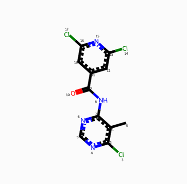 Cc1c(Cl)ncnc1NC(=O)c1cc(Cl)nc(Cl)c1